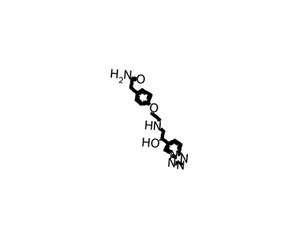 NC(=O)Cc1ccc(OCCNC[C@@H](O)c2ccc3nnnn3c2)cc1